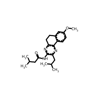 COc1ccc2c(c1)CCc1nc(NC(=O)CC(C)C)c(CC(C)C)nc1-2